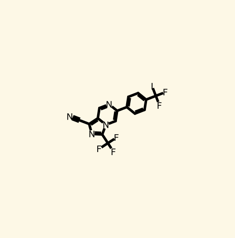 N#Cc1nc(C(F)(F)F)n2cc(-c3ccc(C(F)(F)I)cc3)ncc12